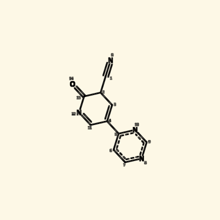 N#CC1C=C(c2ccncn2)C=NC1=O